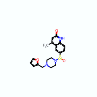 O=c1cc(C(F)(F)F)c2cc([S+]([O-])N3CCN(Cc4ccco4)CC3)ccc2[nH]1